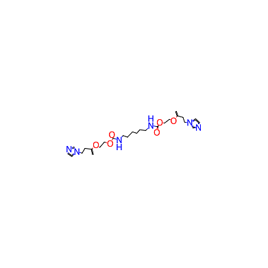 C=C(CCn1ccnc1)OCCOC(=O)NCCCCCCNC(=O)OCCOC(=C)CCn1ccnc1